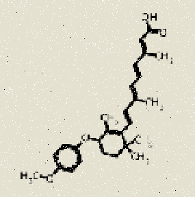 COc1ccc(OC2CCC(C)(C)C(/C=C/C(C)=C/C=C/C(C)=C/C(=O)O)=C2C)cc1